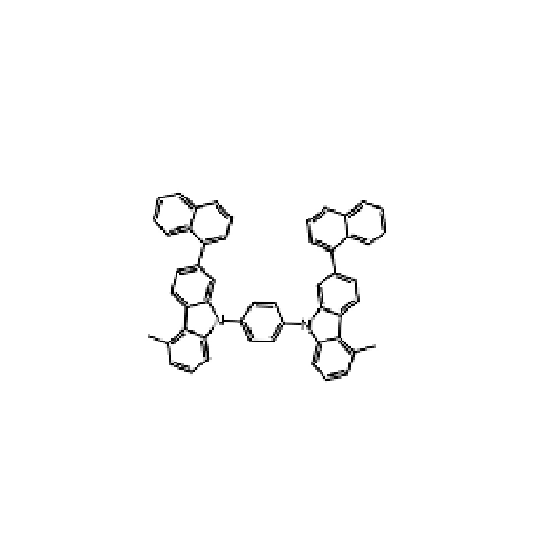 Cc1cccc2c1c1ccc(-c3cccc4ccccc34)cc1n2-c1ccc(-n2c3cc(-c4cccc5ccccc45)ccc3c3c(C)cccc32)cc1